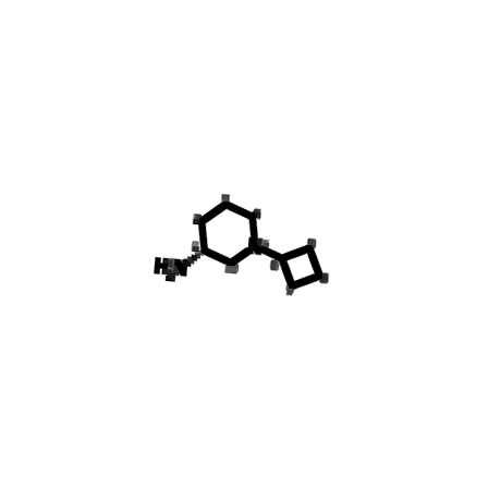 N[C@@H]1CCCN(C2CCC2)C1